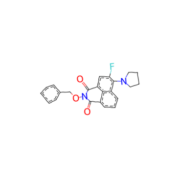 O=C1c2cccc3c(N4CCCC4)c(F)cc(c23)C(=O)N1OCc1ccccc1